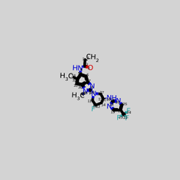 C=CC(=O)Nc1cc2nc(N3C[C@H](F)C[C@@H](Nc4ncc(C(F)(F)F)cn4)C3)n(C)c2cc1C